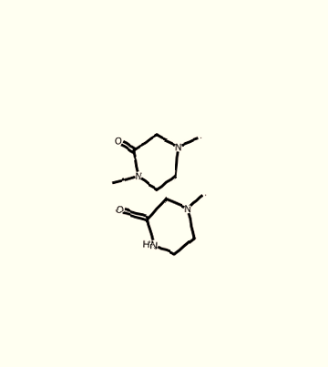 [CH2]N1CCN(C)C(=O)C1.[CH2]N1CCNC(=O)C1